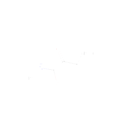 CCCCCCC(=O)C(O)NC(C)C